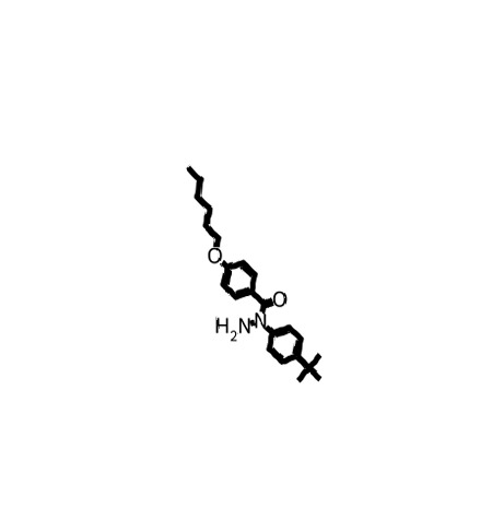 CCCCCCOc1ccc(C(=O)N(N)c2ccc(C(C)(C)C)cc2)cc1